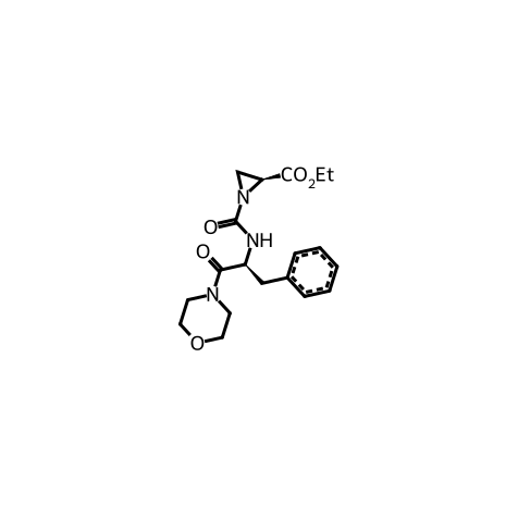 CCOC(=O)[C@@H]1CN1C(=O)N[C@@H](Cc1ccccc1)C(=O)N1CCOCC1